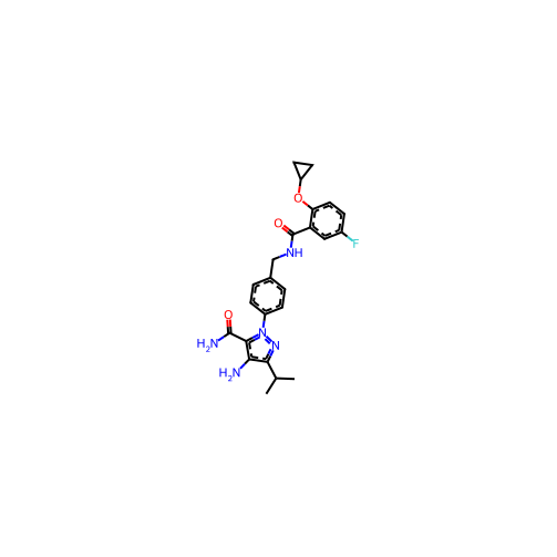 CC(C)c1nn(-c2ccc(CNC(=O)c3cc(F)ccc3OC3CC3)cc2)c(C(N)=O)c1N